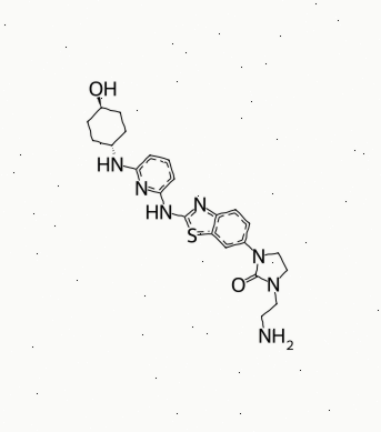 NCCN1CCN(c2ccc3nc(Nc4cccc(N[C@H]5CC[C@H](O)CC5)n4)sc3c2)C1=O